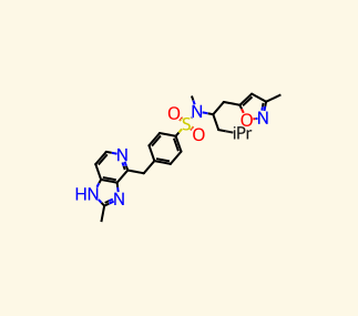 Cc1cc(CC(CC(C)C)N(C)S(=O)(=O)c2ccc(Cc3nccc4[nH]c(C)nc34)cc2)on1